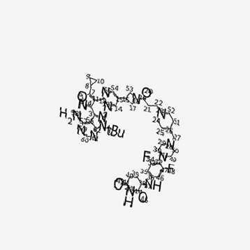 CC(C)(C)n1nc(-c2noc(C3CC3)c2-c2ncc(C3CN(C(=O)CCN4CCC(CN5CCN(c6c(F)cc(NC7CCC(=O)NC7=O)cc6F)CC5)CC4)C3)cn2)c2c(N)ncnc21